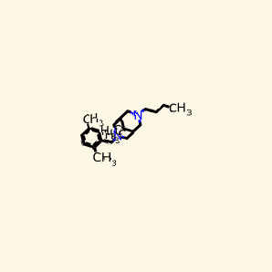 CCCCN1CC2CN(Cc3cc(C)ccc3C)CC(C1)C2(C)C